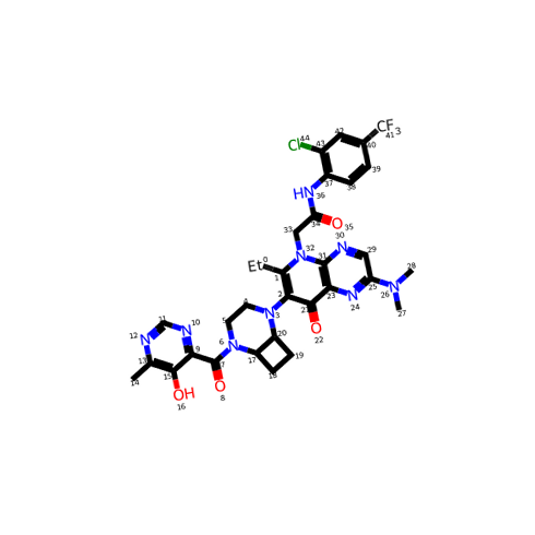 CCc1c(N2CCN(C(=O)c3ncnc(C)c3O)C3CCC32)c(=O)c2nc(N(C)C)cnc2n1CC(=O)Nc1ccc(C(F)(F)F)cc1Cl